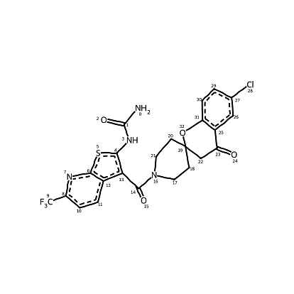 NC(=O)Nc1sc2nc(C(F)(F)F)ccc2c1C(=O)N1CCC2(CC1)CC(=O)c1cc(Cl)ccc1O2